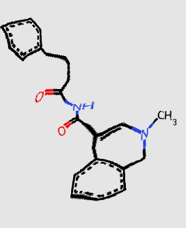 CN1C=C(C(=O)NC(=O)Cc2ccccc2)c2ccccc2C1